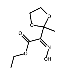 CCOC(=O)/C(=N\O)C1(C)OCCO1